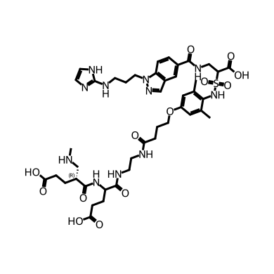 CNC[C@@H](CCC(=O)O)C(=O)NC(CCC(=O)O)C(=O)NCCNC(=O)CCCOc1cc(C)c(NS(=O)(=O)C(CNC(=O)c2ccc3c(cnn3CCCNc3ncc[nH]3)c2)C(=O)O)c(C)c1